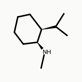 CN[C@H]1CCCC[C@H]1C(C)C